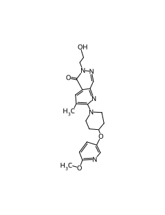 COc1ccc(OC2CCN(c3nc4cnn(CCO)c(=O)c4cc3C)CC2)cn1